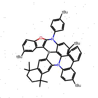 CC(C)(C)c1ccc(N2c3cc(C(C)(C)C)cc4c3B(c3cc5c(cc3N4c3ccc(C(C)(C)C)cc3-c3ccccc3)C(C)(C)CCC5(C)C)c3c2oc2ccc(C(C)(C)C)cc32)cc1